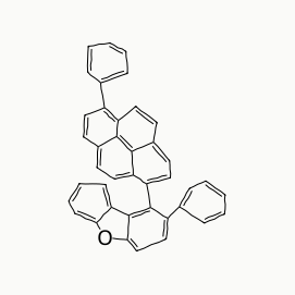 c1ccc(-c2ccc3oc4ccccc4c3c2-c2ccc3ccc4c(-c5ccccc5)ccc5ccc2c3c54)cc1